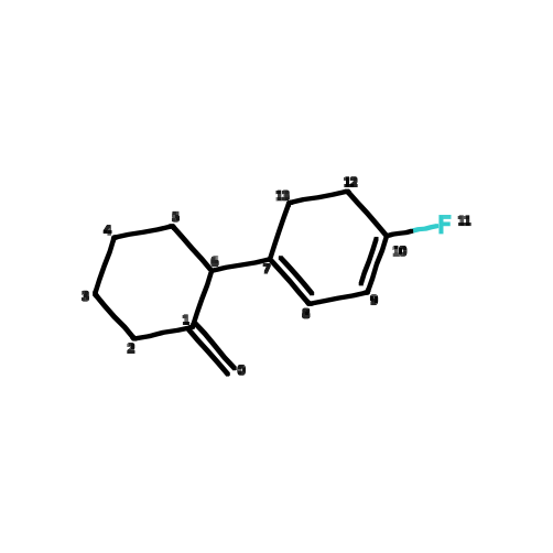 C=C1CCCCC1C1=CC=C(F)CC1